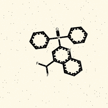 O=P(c1ccccc1)(c1ccccc1)c1cc(C(F)F)c2ccccc2n1